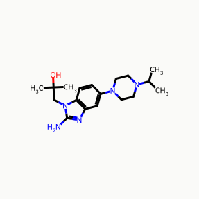 CC(C)N1CCN(c2ccc3c(c2)nc(N)n3CC(C)(C)O)CC1